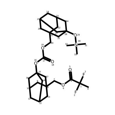 CC(F)(F)C(=O)OCC12CC3CC(C1)CC(OC(=O)OCC14CC5CC(C1)CC(O[Si](C)(C)C)(C5)C4)(C3)C2